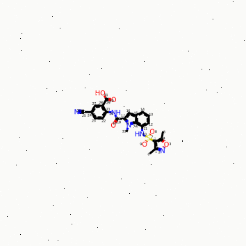 Cc1noc(C)c1S(=O)(=O)Nc1cccc2cc(C(=O)Nc3ccc(C#N)cc3C(=O)O)n(C)c12